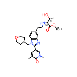 Cc1cc(-c2nc3cc(CCN[C@H](C(=O)OC(C)(C)C)[C@@H](C)O)ccc3n2CC2CCOCC2)cn(C)c1=O